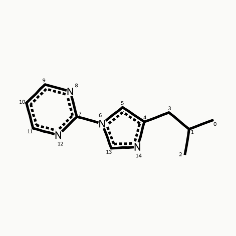 CC(C)Cc1cn(-c2ncccn2)cn1